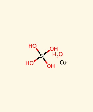 O.O[Si](O)(O)O.[Cu]